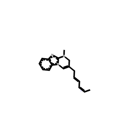 C/C=C\C=CCC1=Cn2c(nc3ccccc32)N(C)C1